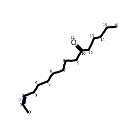 C/C=C\CCCCCCCC(=O)CCCCC